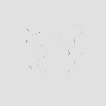 CCC(C)[C@H](C)Nc1cccc(C(=N)N)c1.CS(=O)(=O)c1ccccc1-c1ccc(NC(=O)O)cc1